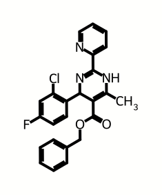 CC1=C(C(=O)OCc2ccccc2)C(c2ccc(F)cc2Cl)N=C(c2ccccn2)N1